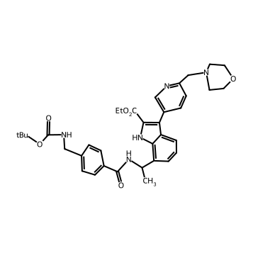 CCOC(=O)c1[nH]c2c(C(C)NC(=O)c3ccc(CNC(=O)OC(C)(C)C)cc3)cccc2c1-c1ccc(CN2CCOCC2)nc1